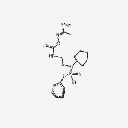 CCP(=S)(Oc1ccccc1)N(SCNC(=O)ON=C(C)SC)C1CCCCC1